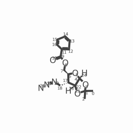 CC1(C)O[C@H]2O[C@H](COC(=O)c3ccccc3)[C@@H](CN=[N+]=[N-])[C@H]2O1